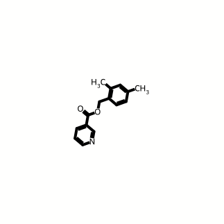 Cc1ccc(COC(=O)c2cccnc2)c(C)c1